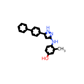 Cc1cc(O)ccc1Nc1cc(-c2ccc(-c3ccccc3)cc2)[nH]n1